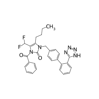 CCCCc1c(C(F)F)n(C(=O)c2ccccc2)c(=O)n1Cc1ccc(-c2ccccc2-c2nnn[nH]2)cc1